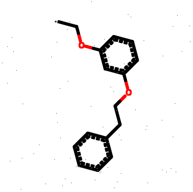 [CH2]COc1cccc(OCCc2ccccc2)c1